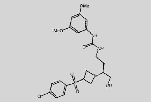 COc1cc(NC(=O)NCC[C@@H](CO)N2CC(S(=O)(=O)c3ccc(Cl)cc3)C2)cc(OC)c1